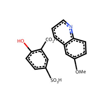 COc1ccc2ncccc2c1.O=C(O)c1cc(S(=O)(=O)O)ccc1O